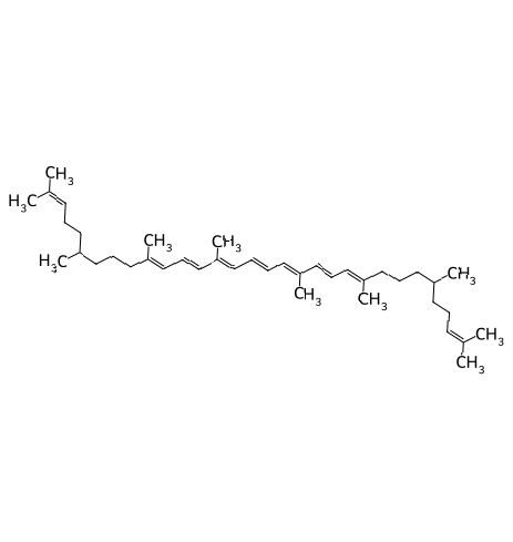 CC(C)=CCCC(C)CCC/C(C)=C/C=C/C(C)=C/C=C/C=C(C)/C=C/C=C(\C)CCCC(C)CCC=C(C)C